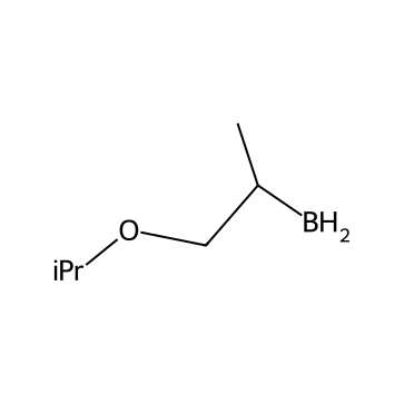 BC(C)COC(C)C